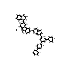 CC1(C)c2ccc(-c3ccc4ccc(-c5cc(-c6ccc(-c7ccccc7)cc6)cc(-c6ccccc6)n5)cc4c3)cc2-c2cc(-c3cccc4ccccc34)ccc21